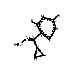 Cc1ccc(C(=NO)C2CC2)c(C)c1